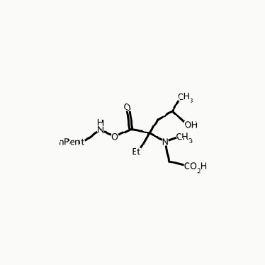 CCCCCNOC(=O)C(CC)(CC(C)O)N(C)CC(=O)O